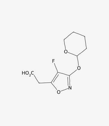 O=C(O)Cc1onc(OC2CCCCO2)c1F